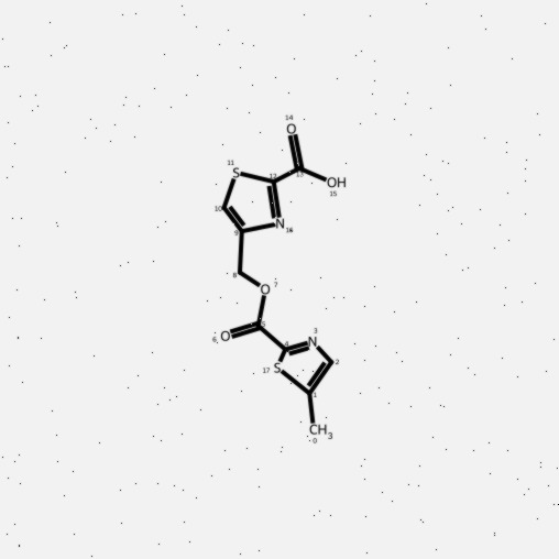 Cc1cnc(C(=O)OCc2csc(C(=O)O)n2)s1